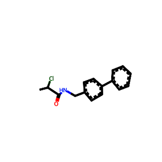 CC(Cl)C(=O)NCc1ccc(-c2ccccc2)cc1